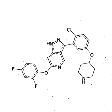 Fc1ccc(Oc2ncc3c(-c4cc(OC5CCNCC5)ccc4Cl)n[nH]c3n2)c(F)c1